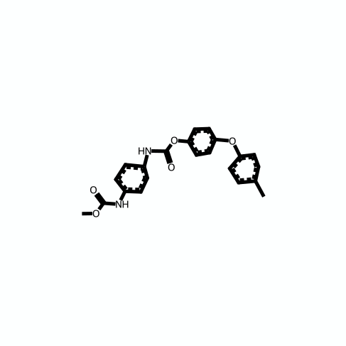 COC(=O)Nc1ccc(NC(=O)Oc2ccc(Oc3ccc(C)cc3)cc2)cc1